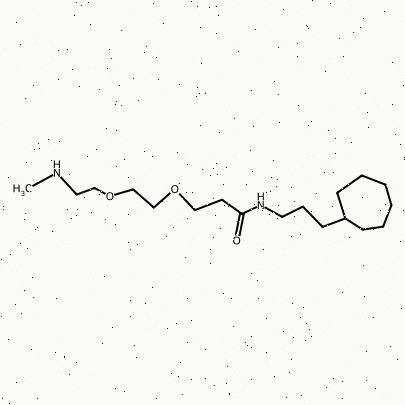 CNCCOCCOCCC(=O)NCCCC1CCCCCC1